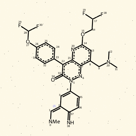 CN/C=C1/C=C(n2nc3c(CN(C)C)cc(OCC(F)F)nc3c(-c3ccc(OC(F)F)cc3)c2=O)C=CC1=N